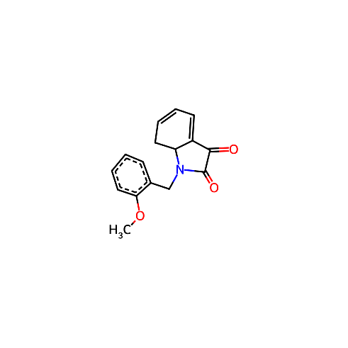 COc1ccccc1CN1C(=O)C(=O)C2=CC=CCC21